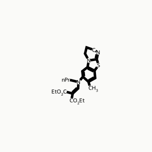 CCCN(C=C(C(=O)OCC)C(=O)OCC)c1cc2c(cc1C)SC1=NCCCN12